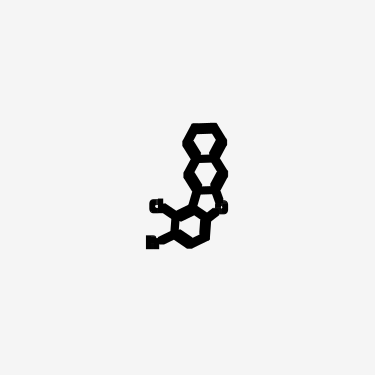 Clc1c(Br)ccc2oc3cc4ccccc4cc3c12